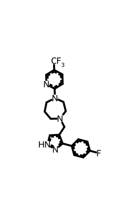 Fc1ccc(-c2n[nH]cc2CN2CCCN(c3ccc(C(F)(F)F)cn3)CC2)cc1